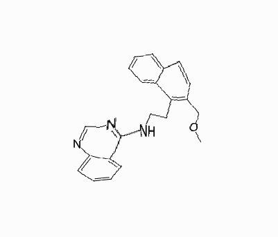 COCc1ccc2ccccc2c1CCNc1ncnc2ccccc12